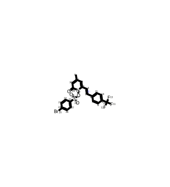 Cc1cc(/C=C/c2ccc(C(F)(F)F)cc2)n(OS(=O)(=O)c2ccc(Br)cc2)c(=O)c1